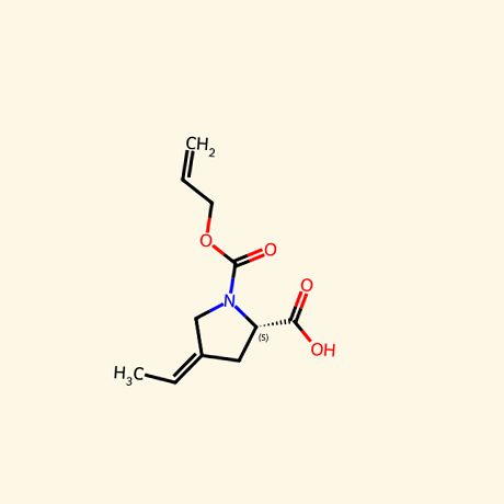 C=CCOC(=O)N1CC(=CC)C[C@H]1C(=O)O